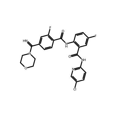 N=C(c1ccc(C(=O)Nc2ccc(F)cc2C(=O)Nc2ccc(Cl)cn2)c(F)c1)N1CCOCC1